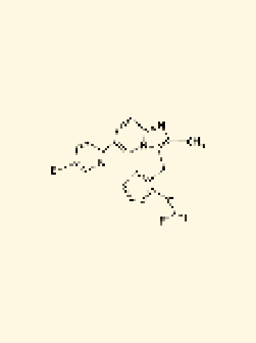 Cc1nc2ccc(-c3ccc(Br)cn3)cn2c1Cc1ccccc1OC(F)F